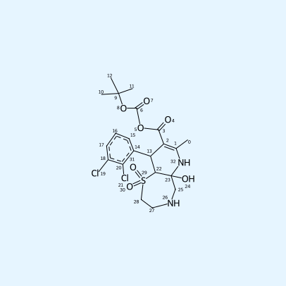 CC1=C(C(=O)OC(=O)OC(C)(C)C)C(c2cccc(Cl)c2Cl)C2C(O)(CNCCS2(=O)=O)N1